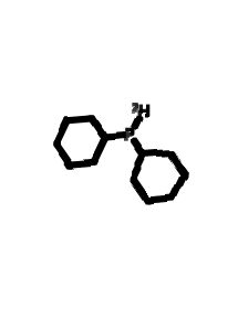 [2H]P(C1CCCCC1)C1CCCCC1